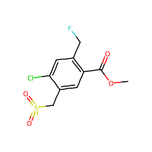 COC(=O)c1cc(C[SH](=O)=O)c(Cl)cc1CF